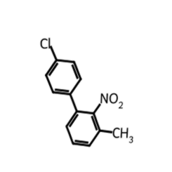 Cc1cccc(-c2ccc(Cl)cc2)c1[N+](=O)[O-]